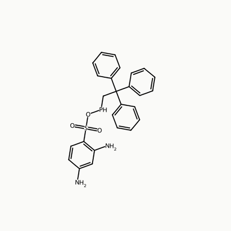 Nc1ccc(S(=O)(=O)OPCC(c2ccccc2)(c2ccccc2)c2ccccc2)c(N)c1